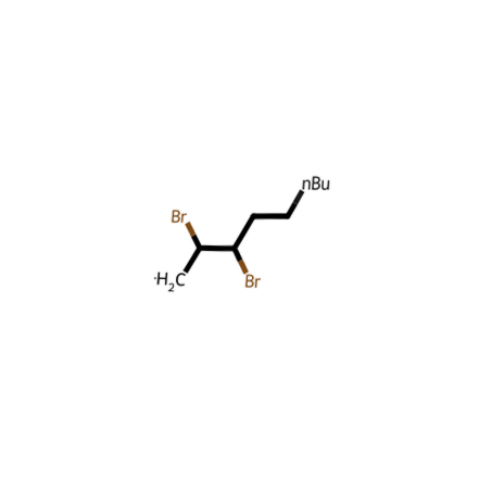 [CH2]C(Br)C(Br)CCCCCC